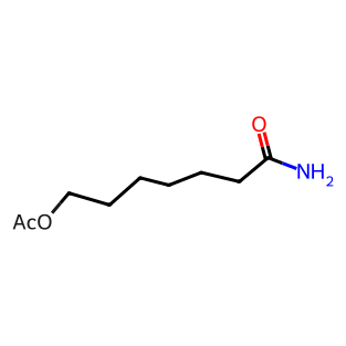 CC(=O)OCCCCCCC(N)=O